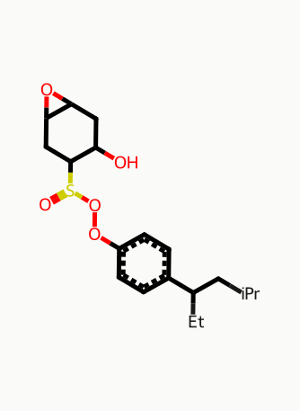 CCC(CC(C)C)c1ccc(OOS(=O)C2CC3OC3CC2O)cc1